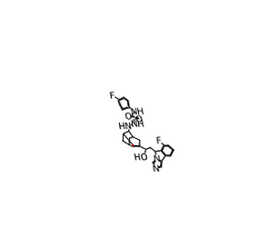 O=S(=O)(NNC1C2CC3CC1CC(C(O)CC1c4c(F)cccc4-c4cncn41)(C3)C2)Nc1ccc(F)cc1